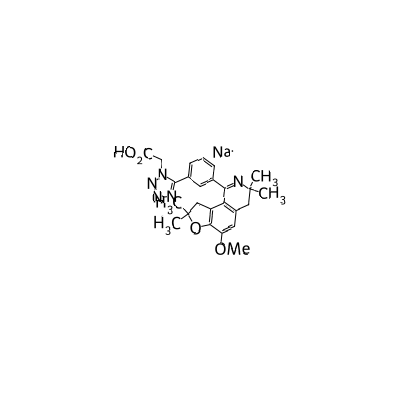 COc1cc2c(c3c1OC(C)(C)C3)C(c1cccc(-c3nnnn3CC(=O)O)c1)=NC(C)(C)C2.[Na]